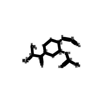 CN(C)C(=O)[C@H]1CC[C@H](N=[N+]=[N-])[C@H](OC(N)=O)C1